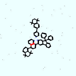 CC1(C)CCC(C)(C)c2cc(-c3ccc(N(c4ccccc4)c4cc5c(cc4-c4ccc(-c6cccc7c6C(C)(C)CCC7(C)C)cc4)-c4ccccc4C5(c4ccccc4)c4ccccc4)cc3)ccc21